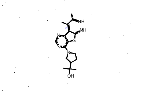 CC(=N)/C(C)=C1\C(=N)Sc2c1ncnc2N1CCC(C(C)(C)O)C1